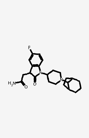 NC(=O)CC1C(=O)N(C2CCN(C3C4CCCC3CC4)CC2)c2ccc(F)cc21